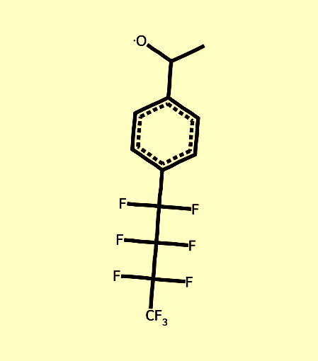 CC([O])c1ccc(C(F)(F)C(F)(F)C(F)(F)C(F)(F)F)cc1